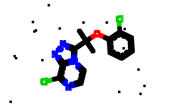 CC(C)(Oc1ccccc1Cl)c1nnc2c(Cl)nccn12